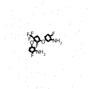 Nc1cc(Oc2ccc(C(F)(F)F)c(Oc3ccc(F)c(N)c3)c2F)ccc1F